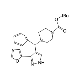 CC(C)(C)OC(=O)N1CCN(C(c2ccccc2)c2c[nH]nc2-c2ccco2)CC1